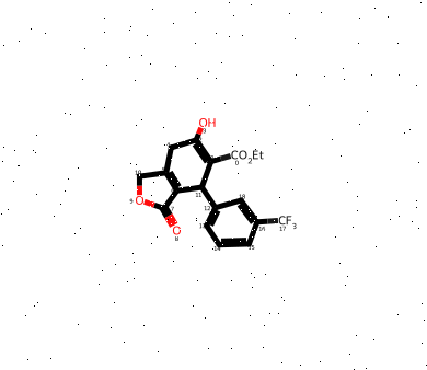 CCOC(=O)C1=C(O)CC2=C(C(=O)OC2)C1c1cccc(C(F)(F)F)c1